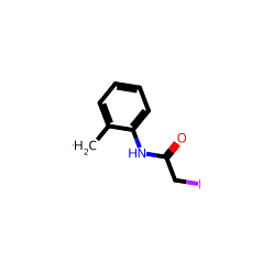 [CH2]c1ccccc1NC(=O)CI